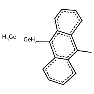 Cc1c2ccccc2c(C)c2ccccc12.[GeH4].[GeH4]